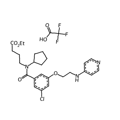 CCOC(=O)CCCN(C(=O)c1cc(Cl)cc(OCCNc2ccncc2)c1)C1CCCC1.O=C(O)C(F)(F)F